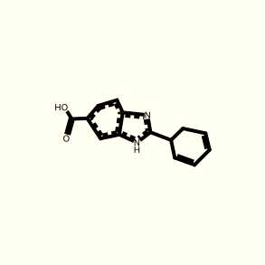 O=C(O)c1ccc2nc(C3C=CC=CC3)[nH]c2c1